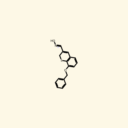 O/N=C/C1=Cc2cccc(OCc3ccccc3)c2SC1